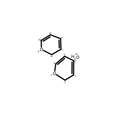 C1=CCOC=C1.C1=CCOC=C1.O